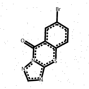 O=c1c2cc(Br)ccc2sc2ncnn12